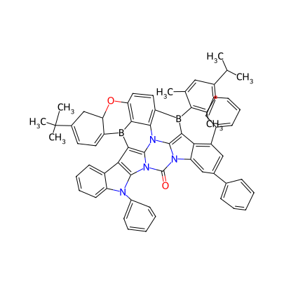 Cc1cc(C(C)C)cc(C)c1B1c2ccc3c4c2-n2c5c1c1c(-c6ccccc6)cc(-c6ccccc6)cc1n5c(=O)n1c2c(c2c5ccccc5n(-c5ccccc5)c21)B4C1=CC=C(C(C)(C)C)CC1O3